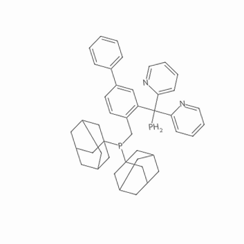 PC(c1ccccn1)(c1ccccn1)c1cc(-c2ccccc2)ccc1CP(C12CC3CC(CC(C3)C1)C2)C12CC3CC(CC(C3)C1)C2